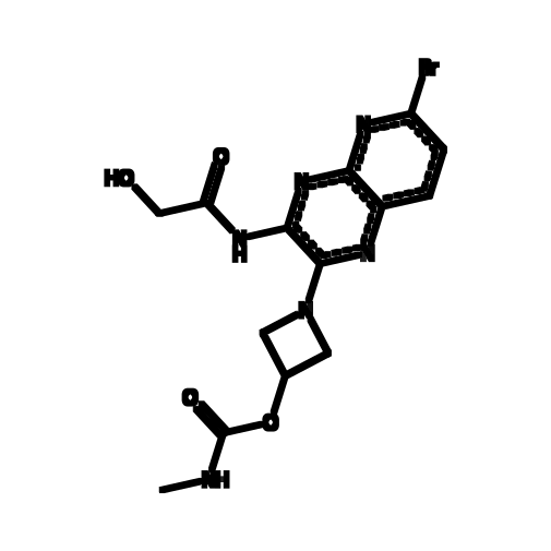 CNC(=O)OC1CN(c2nc3ccc(Br)nc3nc2NC(=O)CO)C1